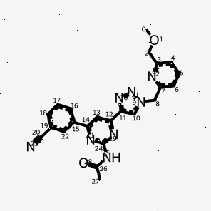 COCc1cccc(Cn2cc(-c3cc(-c4cccc(C#N)c4)nc(NC(C)=O)n3)nn2)n1